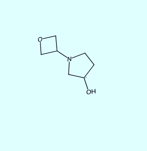 O[C]1CCN(C2COC2)C1